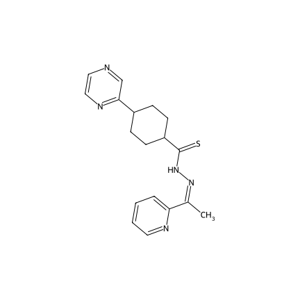 CC(=NNC(=S)C1CCC(c2cnccn2)CC1)c1ccccn1